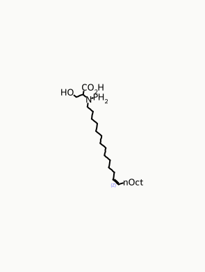 CCCCCCCC/C=C\CCCCCCCCCCCCN(P)C(CO)C(=O)O